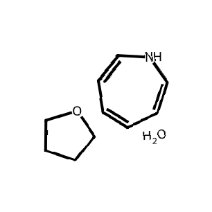 C1=CC=CNC=C1.C1CCOC1.O